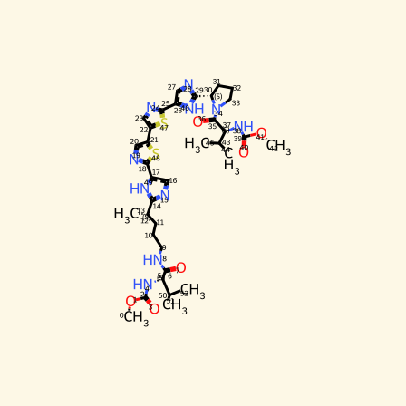 COC(=O)N[C@H](C(=O)NCCC[C@H](C)c1ncc(-c2ncc(-c3cnc(-c4cnc([C@@H]5CCCN5C(=O)[C@@H](NC(=O)OC)C(C)C)[nH]4)s3)s2)[nH]1)C(C)C